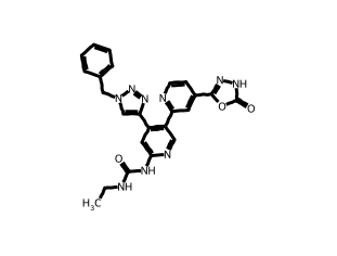 CCNC(=O)Nc1cc(-c2cn(Cc3ccccc3)nn2)c(-c2cc(-c3n[nH]c(=O)o3)ccn2)cn1